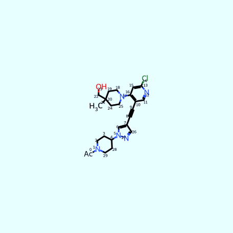 CC(=O)N1CCC(n2cc(C#Cc3cnc(Cl)cc3N3CCC(C)(CO)CC3)cn2)CC1